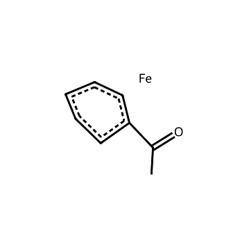 CC(=O)c1ccccc1.[Fe]